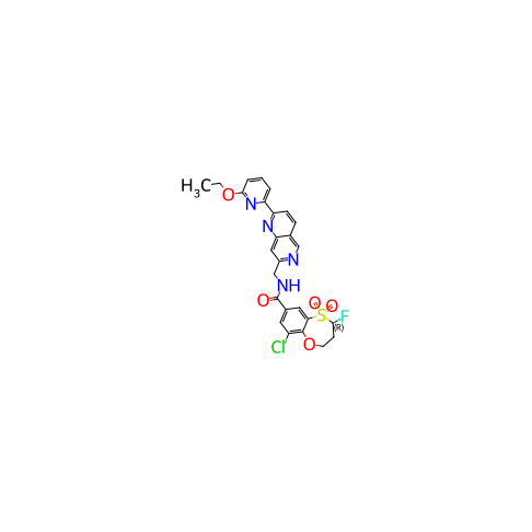 CCOc1cccc(-c2ccc3cnc(CNC(=O)c4cc(Cl)c5c(c4)S(=O)(=O)[C@@H](F)CCO5)cc3n2)n1